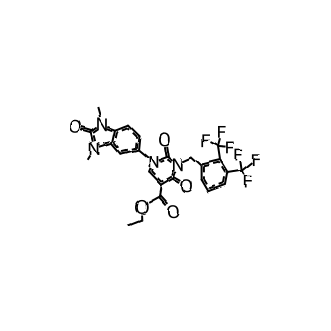 CCOC(=O)c1cn(-c2ccc3c(c2)n(C)c(=O)n3C)c(=O)n(Cc2cccc(C(F)(F)F)c2C(F)(F)F)c1=O